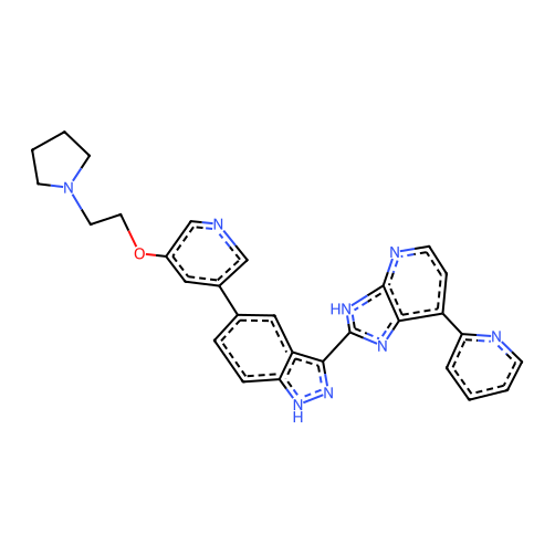 c1ccc(-c2ccnc3[nH]c(-c4n[nH]c5ccc(-c6cncc(OCCN7CCCC7)c6)cc45)nc23)nc1